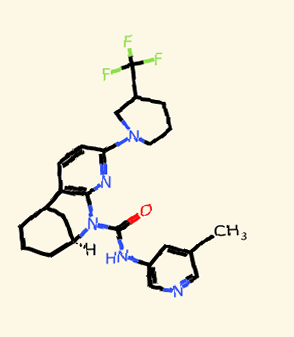 Cc1cncc(NC(=O)N2c3nc(N4CCCC(C(F)(F)F)C4)ccc3C3CCC[C@H]2C3)c1